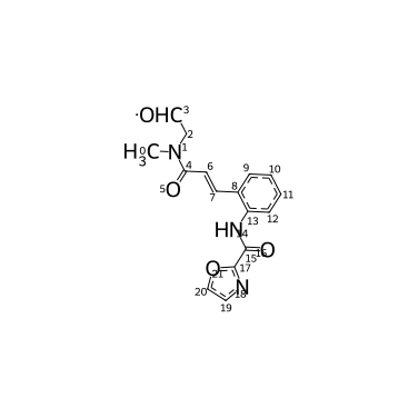 CN(C[C]=O)C(=O)/C=C/c1ccccc1NC(=O)c1ncco1